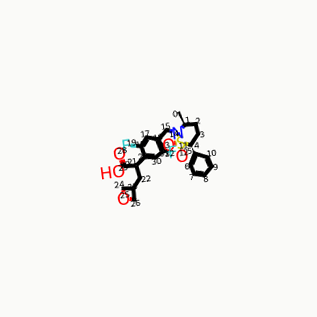 C[C@H]1CC[C@H](c2ccccc2)S(=O)(=O)N1Cc1cc(F)c(C(CC2COC2)C(=O)O)cc1F